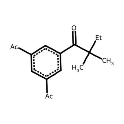 CCC(C)(C)C(=O)c1cc(C(C)=O)cc(C(C)=O)c1